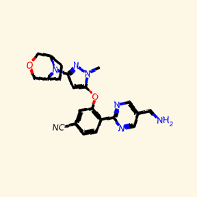 Cn1nc(N2C3CCC2COC3)cc1Oc1cc(C#N)ccc1-c1ncc(CN)cn1